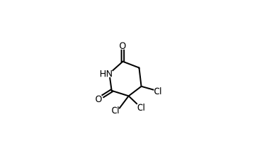 O=C1CC(Cl)C(Cl)(Cl)C(=O)N1